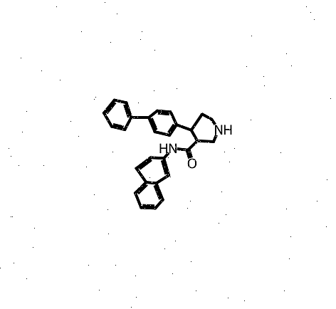 O=C(Nc1ccc2ccccc2c1)C1CNCCC1c1ccc(-c2ccccc2)cc1